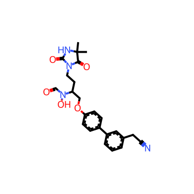 CC1(C)NC(=O)N(CCC(COc2ccc(-c3cccc(CC#N)c3)cc2)N(O)C=O)C1=O